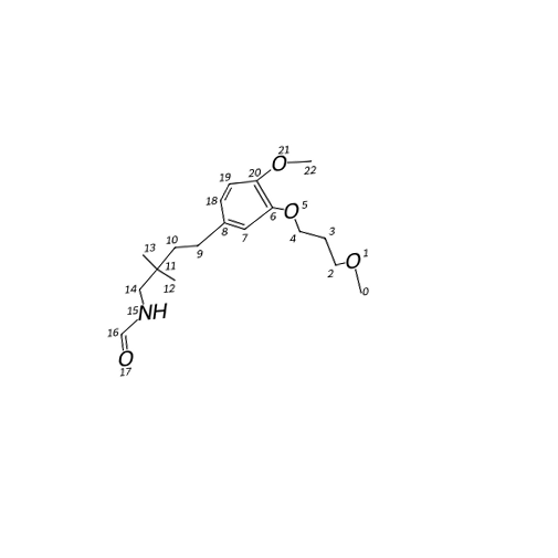 COCCCOc1cc(CCC(C)(C)CNC=O)ccc1OC